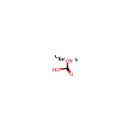 O=C(O)O.[Cu].[Mn].[Ni]